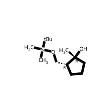 CC(C)(C)[Si](C)(C)OC[C@H]1CCC[C@@]1(C)O